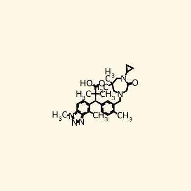 Cc1ccc(C(c2ccc3c(nnn3C)c2C)C(C)(C)C(=O)O)cc1CN1CC(=O)N(C2CC2)CC(C)(C)C1